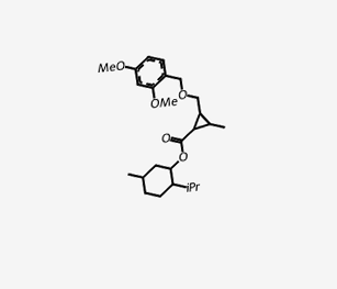 COc1ccc(COCC2C(C)C2C(=O)OC2CC(C)CCC2C(C)C)c(OC)c1